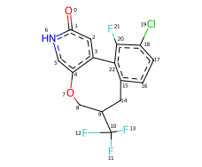 O=c1cc2c(c[nH]1)OCC(C(F)(F)F)Cc1ccc(Cl)c(F)c1-2